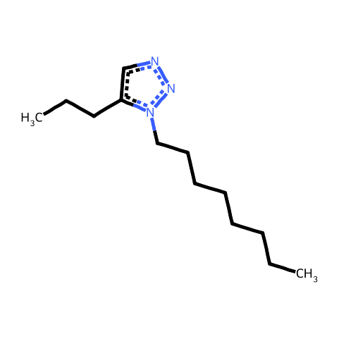 CCCCCCCCn1nncc1CCC